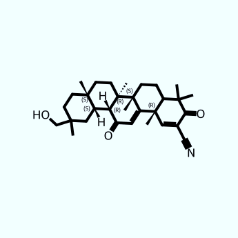 CC1(CO)CC[C@]2(C)CC[C@]3(C)[C@H](C(=O)C=C4[C@@]5(C)C=C(C#N)C(=O)C(C)(C)C5CC[C@]43C)[C@@H]2C1